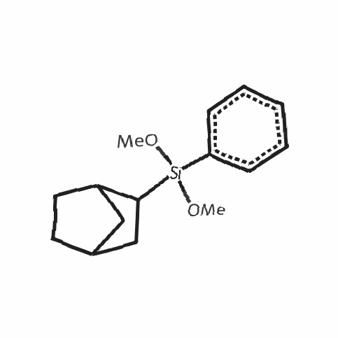 CO[Si](OC)(c1ccccc1)C1CC2CCC1C2